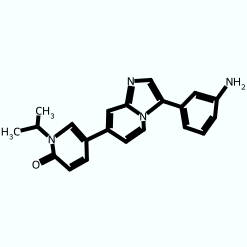 CC(C)n1cc(-c2ccn3c(-c4cccc(N)c4)cnc3c2)ccc1=O